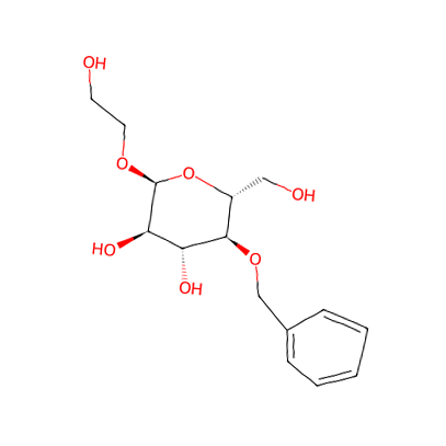 OCCO[C@H]1O[C@H](CO)[C@@H](OCc2ccccc2)[C@H](O)[C@H]1O